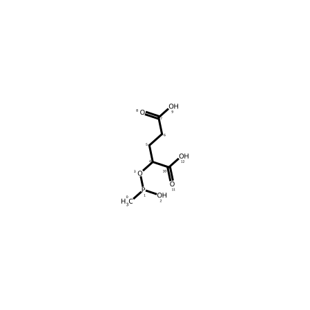 CP(O)OC(CCC(=O)O)C(=O)O